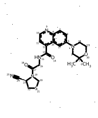 CC1(C)CN(c2ccc3nccc(C(=O)NCC(=O)N4CSC[C@H]4C#N)c3c2)CCO1